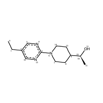 CCc1cnc(N2CCC([C@H](C)O)CC2)nc1